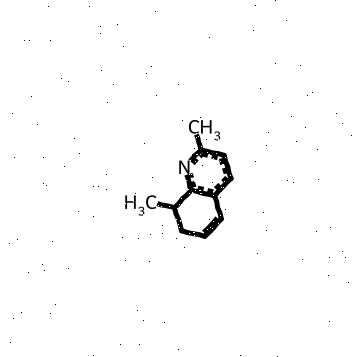 Cc1ccc2c(n1)C(C)CC=C2